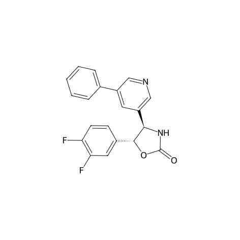 O=C1N[C@H](c2cncc(-c3ccccc3)c2)[C@@H](c2ccc(F)c(F)c2)O1